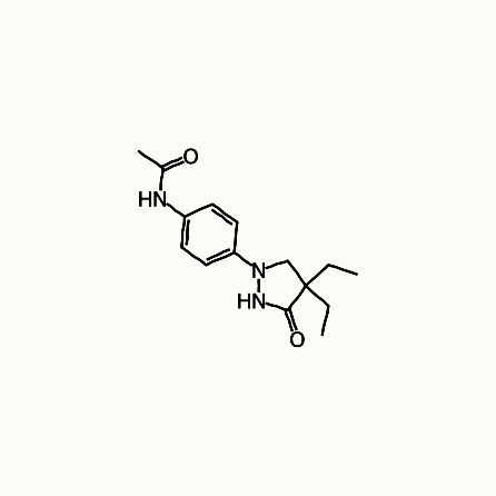 CCC1(CC)CN(c2ccc(NC(C)=O)cc2)NC1=O